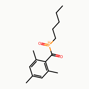 CCCCC[PH](=O)C(=O)c1c(C)cc(C)cc1C